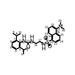 CC(C)c1cccc(C(C)C)c1NC(=O)NCCNS(=O)(=O)c1cccc2c(N(C)C)cccc12